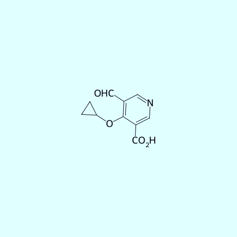 O=Cc1cncc(C(=O)O)c1OC1CC1